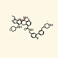 CCc1nc2c(cnn2CC)c(NC2CCOCC2)c1Cc1c(C(=O)NCc2ccc(F)c(-c3cccc(CN4CCN[C@@H](C)C4)c3)c2)ccnc1C(N)=O